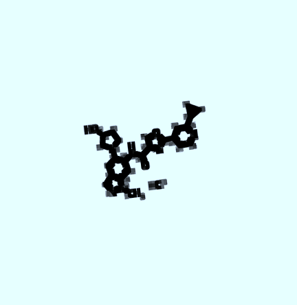 Cl.Cn1ncc2cc(N3CC[C@H](O)C3)c(NC(=O)c3coc(-c4ccnc(C5CC5)c4)n3)cc21